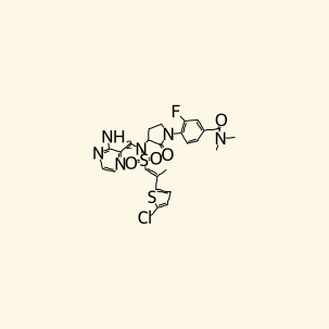 C/C(=C\S(=O)(=O)N(Cc1nccnc1N)[C@H]1CCN(c2ccc(C(=O)N(C)C)cc2F)C1=O)c1ccc(Cl)s1